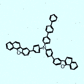 c1ccc(-c2ccc(-c3ccc(N(c4ccc(-c5ccc6oc7c8ccccc8ccc7c6c5)cc4)c4ccc(-c5ccc6oc7c8ccccc8ccc7c6c5)cc4)cc3)cc2)cc1